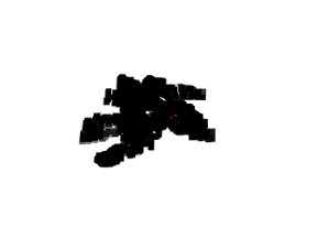 CSN1c2cc3c(cc2B2c4cc5c(cc4Oc4cc(Nc6ccccc6)cc1c42)N(SC)c1cc(C)cc2c1B5c1ccc4oc5c(C(C)(C)C)cccc5c4c1O2)B1c2ccc4oc5c(C(C)(C)C)cccc5c4c2Oc2cc(C)cc(c21)N3